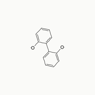 [O]c1ccccc1-c1ccccc1[O]